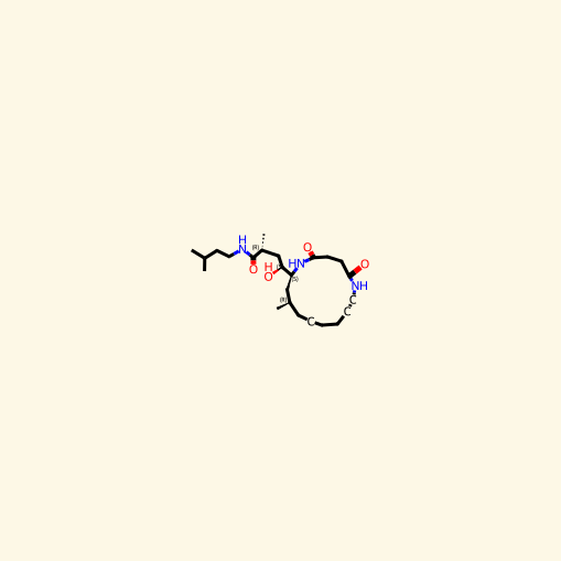 CC(C)CCNC(=O)[C@H](C)C[C@H](O)[C@@H]1C[C@H](C)CCCCCCNC(=O)CCC(=O)N1